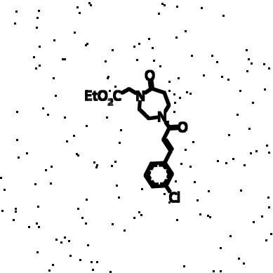 CCOC(=O)CN1CCN(C(=O)/C=C/c2cccc(Cl)c2)CCC1=O